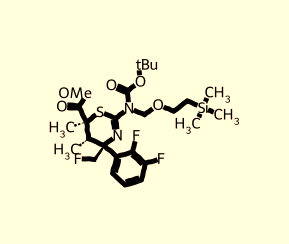 COC(=O)[C@@]1(C)SC(N(COCC[Si](C)(C)C)C(=O)OC(C)(C)C)=N[C@](CF)(c2cccc(F)c2F)[C@@H]1C